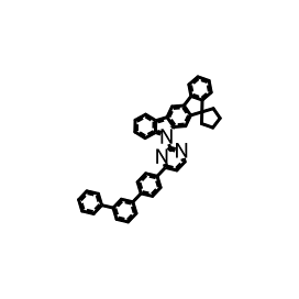 c1ccc(-c2cccc(-c3ccc(-c4ccnc(-n5c6ccccc6c6cc7c(cc65)C5(CCCC5)c5ccccc5-7)n4)cc3)c2)cc1